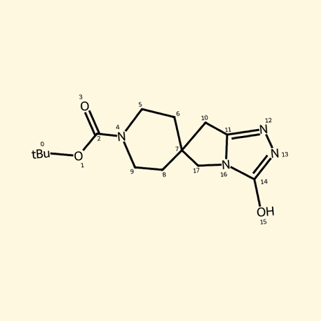 CC(C)(C)OC(=O)N1CCC2(CC1)Cc1nnc(O)n1C2